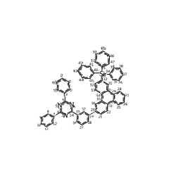 c1ccc(-c2nc(-c3ccccc3)nc(-c3cccc(-c4ccc5c6ccccc6c6cc([Si](c7ccccc7)(c7ccccc7)c7ccccc7)ccc6c5c4)c3)n2)cc1